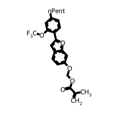 C=C(C)C(=O)OCOc1ccc2cc(-c3ccc(CCCCC)cc3OC(F)(F)F)oc2c1